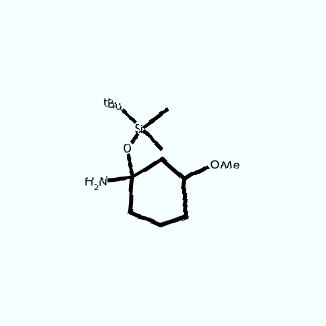 COC1CCCC(N)(O[Si](C)(C)C(C)(C)C)C1